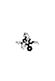 CCCC(CCC)C(C(=O)N1CC(COC)C[C@H]1C(C)C)c1ccccc1